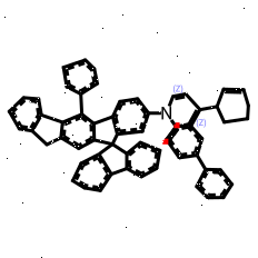 C=C/C=C(\C=C/N(c1ccc(-c2ccccc2)cc1)c1ccc2c(c1)C1(c3ccccc3-c3ccccc31)c1cc3c(c(-c4ccccc4)c1-2)-c1ccccc1C3)C1C=CCCC1